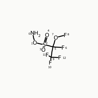 NOS(=O)(=O)C(F)(OF)C(F)(F)F